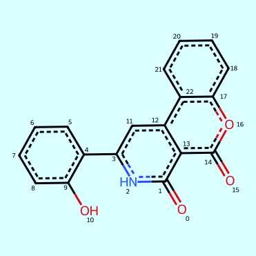 O=c1[nH]c(-c2ccccc2O)cc2c1c(=O)oc1ccccc12